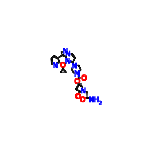 NC(=O)CN1C[C@H](OC(=O)N2CCN(c3ccn4ncc(-c5cccnc5OC5CC5)c4n3)CC2)CC1=O